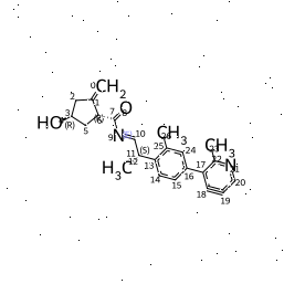 C=C1C[C@H](O)C[C@H]1C(=O)/N=C/[C@@H](C)c1ccc(-c2c#ccnc2C)cc1C